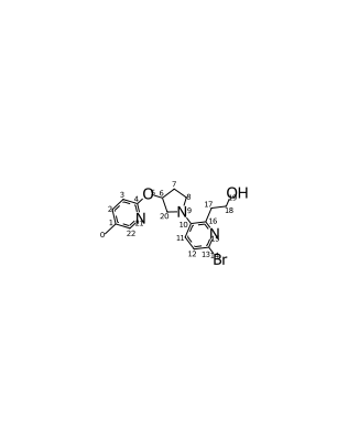 Cc1ccc(OC2CCN(c3ccc(Br)nc3CCO)C2)nc1